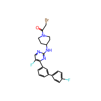 O=C(CBr)N1CCC(Nc2ncc(F)c(-c3cccc(-c4ccc(F)cc4)c3)n2)CC1